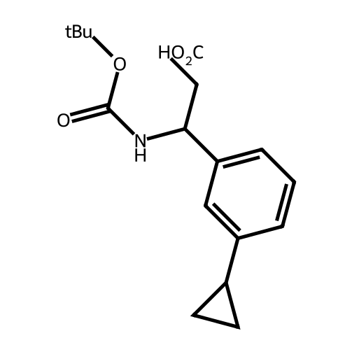 CC(C)(C)OC(=O)NC(CC(=O)O)c1cccc(C2CC2)c1